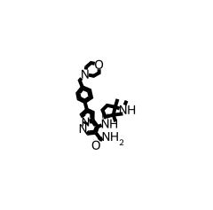 CNC1(C)CC[C@@H](Nc2c(C(N)=O)cnn3cc(-c4ccc(CN5CCOCC5)cc4)cc23)C1(C)C